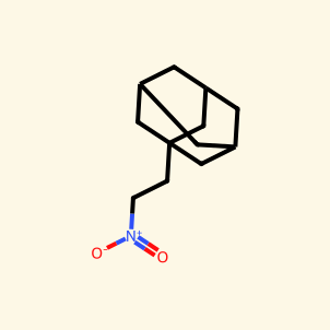 O=[N+]([O-])CCC12CC3CC(CC(C3)C1)C2